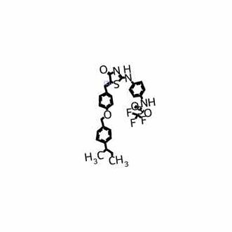 CCC(C)c1ccc(COc2ccc(/C=C3\SC(Nc4ccc(NS(=O)(=O)C(F)(F)F)cc4)=NC3=O)cc2)cc1